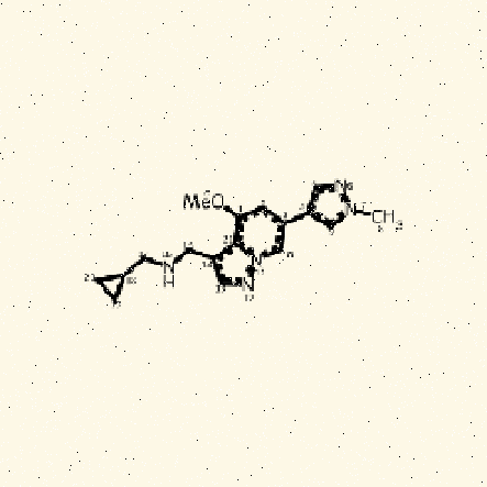 COc1cc(-c2cnn(C)c2)cn2ncc(CNCC3CC3)c12